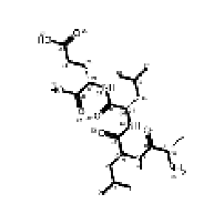 CC(C)C[C@H](NC(=O)[C@H](C)N)C(=O)N[C@@H](CC(C)C)C(=O)N[C@@H](CCC(=O)O)C(=O)O